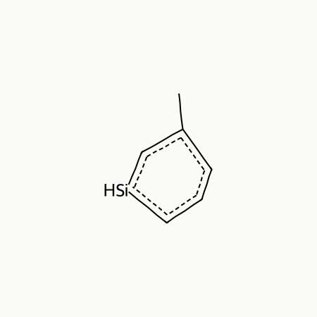 Cc1ccc[siH]c1